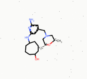 C[C@@H]1CN(Cc2cc(N)nc(NC3CCCC(O)CCC3)c2)C[C@H](C)O1